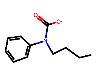 CCCCN(C([O])=O)c1ccccc1